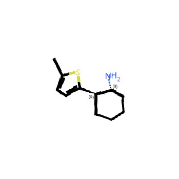 Cc1ccc([C@@H]2CCCC[C@H]2N)s1